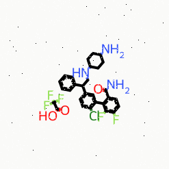 NC(=O)c1ccc(F)c(F)c1-c1cc(C(CNC2CCC(N)CC2)c2ccccc2)ccc1Cl.O=C(O)C(F)(F)F